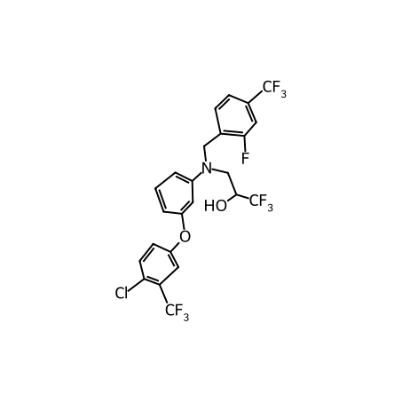 OC(CN(Cc1ccc(C(F)(F)F)cc1F)c1cccc(Oc2ccc(Cl)c(C(F)(F)F)c2)c1)C(F)(F)F